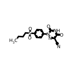 CCCCS(=O)(=O)c1ccc(-n2nc(C#N)c(=O)[nH]c2=O)cc1